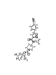 CC(C)(C)OC(=O)N1CCC(N(C(=O)c2cc(-c3ccc(C#N)cc3)on2)C2CC2)CC1